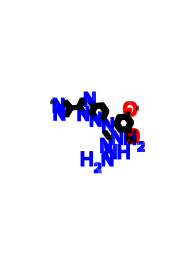 COc1cc(OC)cc(N(C/C(N)=N/NN)c2ccc3ncc(-c4cnn(C)c4)nc3n2)c1